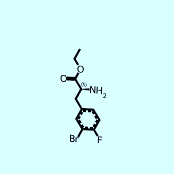 CCOC(=O)[C@@H](N)Cc1ccc(F)c(Br)c1